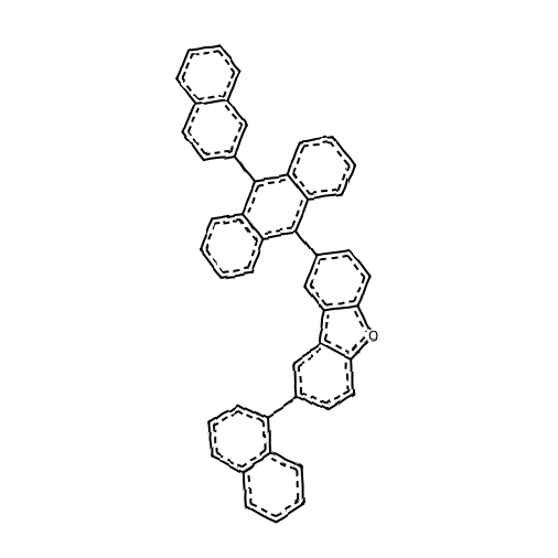 c1ccc2cc(-c3c4ccccc4c(-c4ccc5oc6ccc(-c7cccc8ccccc78)cc6c5c4)c4ccccc34)ccc2c1